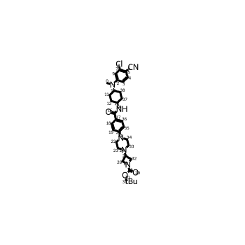 CN(c1ccc(C#N)c(Cl)c1)[C@H]1CC[C@H](NC(=O)c2ccc(N3CCN(C4CN(C(=O)OC(C)(C)C)C4)CC3)cc2)CC1